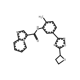 Cc1ccc(-c2noc(C3CCO3)n2)cc1NC(=O)c1cnc2ccccn12